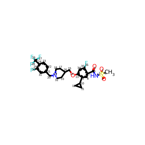 CS(=O)(=O)NC(=O)c1cc(C2CC2)c(OCC2CCN(Cc3ccc(C(F)(F)F)c(F)c3)CC2)cc1F